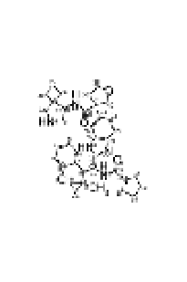 CC1([C@@H](c2ccccc2Cl)[C@H](NC(=O)N2CCCC2)c2nc3ccc(C4(C(=O)N[C@H]5CNCC56CCC6)CCOC4)cc3[nH]2)CC1